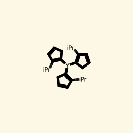 CC(C)C1=[C]([Y]([C]2=C(C(C)C)C=CC2)[C]2=C(C(C)C)C=CC2)CC=C1